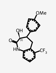 COc1ccc(C2Cc3c(cccc3C(F)(F)F)NC(=O)[C@H]2O)cc1